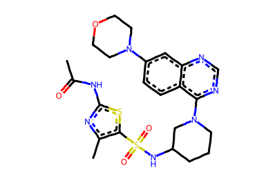 CC(=O)Nc1nc(C)c(S(=O)(=O)NC2CCCN(c3ncnc4cc(N5CCOCC5)ccc34)C2)s1